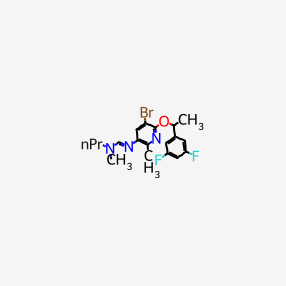 CCCN(C)/C=N/c1cc(Br)c(OC(C)c2cc(F)cc(F)c2)nc1C